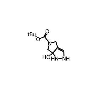 CC(C)(C)OC(=O)N1CC2=CNNC2(O)C1